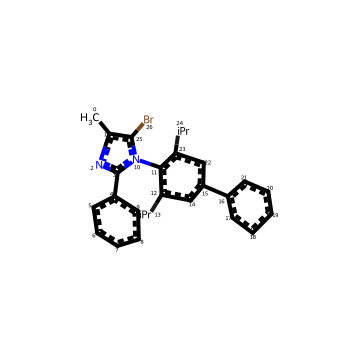 Cc1nc(-c2ccccc2)n(-c2c(C(C)C)cc(-c3ccccc3)cc2C(C)C)c1Br